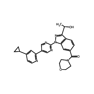 CC(O)c1nn(-c2ncc(-c3cc(C4CC4)ccn3)cn2)c2cc(C(=O)N3CCOCC3)ccc12